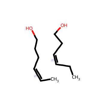 C/C=C\CCCO.CC/C=C\CCO